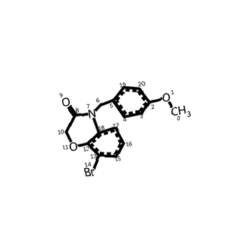 COc1ccc(CN2C(=O)COc3c(Br)cccc32)cc1